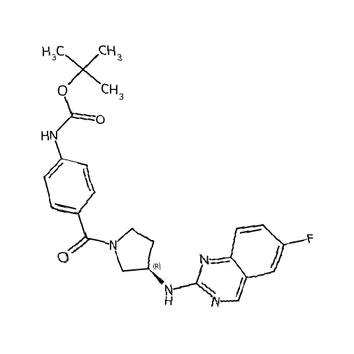 CC(C)(C)OC(=O)Nc1ccc(C(=O)N2CC[C@@H](Nc3ncc4cc(F)ccc4n3)C2)cc1